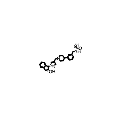 O=[SH](=O)NCc1cccc(C2CCN(Cc3cnn([C@@H]4c5ccccc5C[C@H]4O)c3)CC2)c1